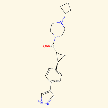 O=C([C@@H]1C[C@H]1c1ccc(-c2cn[nH]c2)cc1)N1CCN(C2CCC2)CC1